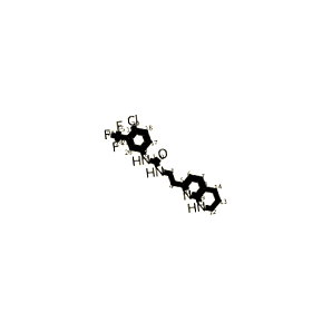 O=C(NCCc1ccc2c(n1)NCCC2)Nc1ccc(Cl)c(C(F)(F)F)c1